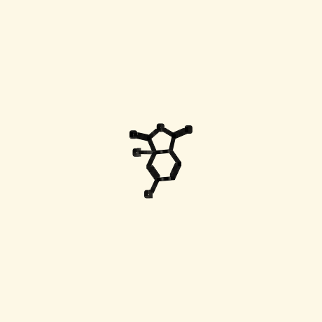 O=C1OC(=O)C2(Cl)C=C(Cl)C=CC12